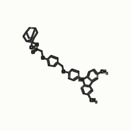 Cc1ccc2c(c1)-c1cc(C)ccc1[SH]2c1ccc(OCc2ccc(OCC(=O)OC3(C)C4CC5CC(C4)CC3C5)cc2)cc1